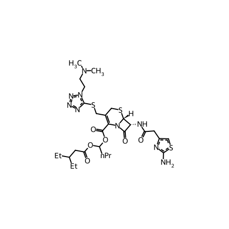 CCCC(OC(=O)CC(CC)CC)OC(=O)C1=C(CSc2nnnn2CCN(C)C)CS[C@@H]2[C@H](NC(=O)Cc3csc(N)n3)C(=O)N12